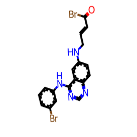 O=C(Br)C=CCNc1ccc2ncnc(Nc3cccc(Br)c3)c2c1